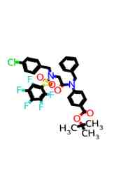 CC(C)(C)OC(=O)c1ccc(N(Cc2ccccc2)C(=O)CN(Cc2ccc(Cl)cc2)S(=O)(=O)c2c(F)c(F)c(F)c(F)c2F)cc1